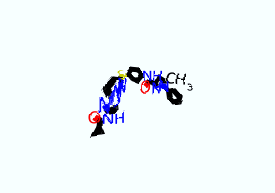 Cc1cc(C(=O)Nc2ccc(Sc3ccc4nc(NC(=O)C5CC5)cn4n3)cc2)nn1-c1ccccc1